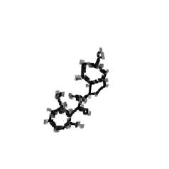 O=C(N[C@@H]1CCc2cc(Cl)ccc21)c1c(O)cccc1F